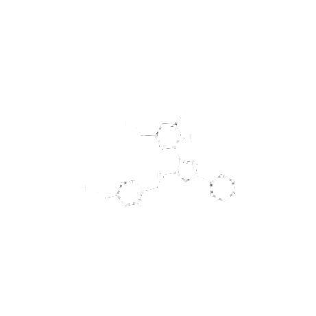 CCc1cc(=O)[nH]c(-n2nc(-c3ccccc3)cc2NCc2ccc(OC)cc2)n1